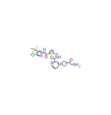 CCC(F)(F)c1cc(NC(=O)c2cnc(C(C)NC(=O)C3=N/C=C=CC/C(N4CCN(C(=O)CN)CC4)=C\3)s2)ncc1Cl